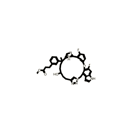 COC(=O)CCc1cccc(C2(C)CCC(O)CCc3cn(nn3)Cc3c(c(F)cc4[nH]ccc34)Oc3ccc(F)c(c3)-c3ncc2[nH]3)c1